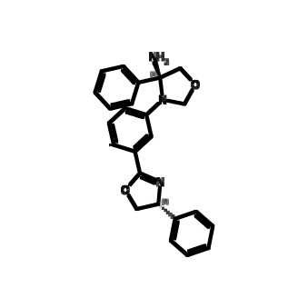 N[C@@]1(c2ccccc2)COCN1c1cc[c]c(C2=N[C@H](c3ccccc3)CO2)c1